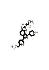 CCc1ccc(-c2nn(C3CCNCC3)c3c2CCc2nc(NC(C)=O)sc2-3)cn1